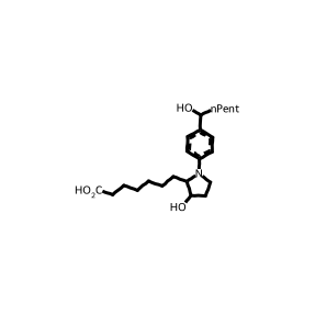 CCCCCC(O)c1ccc(N2CCC(O)C2CCCCCCC(=O)O)cc1